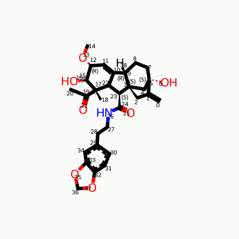 C=C1C[C@]23C[C@@]1(O)CC[C@H]2C1=C[C@@H](OC)[C@H](O)[C@@](C)(C(C)=O)C1[C@@H]3C(=O)NCCc1ccc2c(c1)OCO2